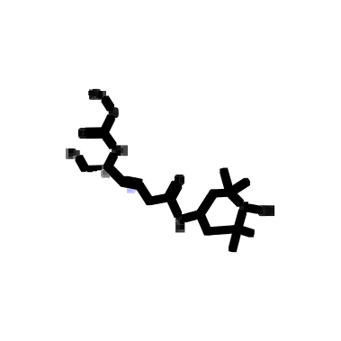 CC(C)C[C@@H](/C=C/CC(=O)NC1CC(C)(C)N(O)C(C)(C)C1)NC(=O)OC(C)(C)C